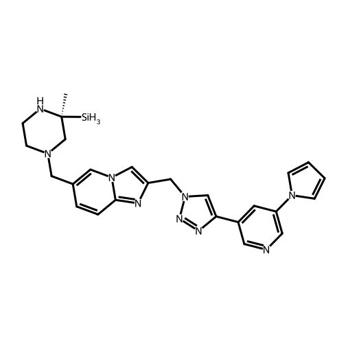 C[C@]1([SiH3])CN(Cc2ccc3nc(Cn4cc(-c5cncc(-n6cccc6)c5)nn4)cn3c2)CCN1